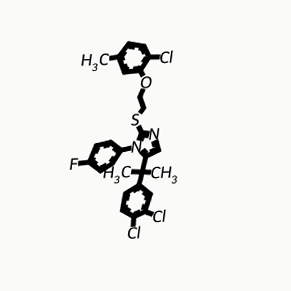 Cc1ccc(Cl)c(OCCSc2ncc(C(C)(C)c3ccc(Cl)c(Cl)c3)n2-c2ccc(F)cc2)c1